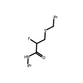 CC(C)CSCC(F)C(=O)NC(C)C